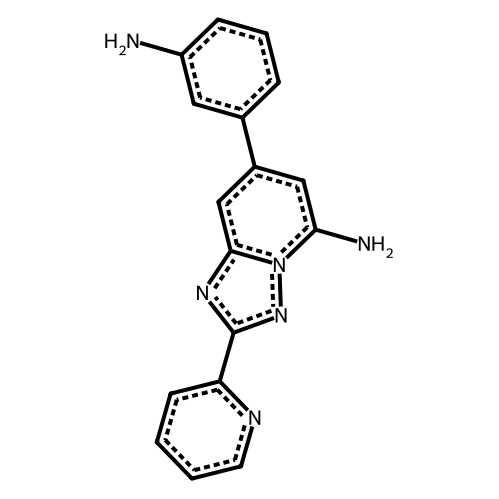 Nc1cccc(-c2cc(N)n3nc(-c4ccccn4)nc3c2)c1